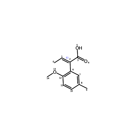 C/C=C(/C(=O)O)c1cc(C)ccc1OC